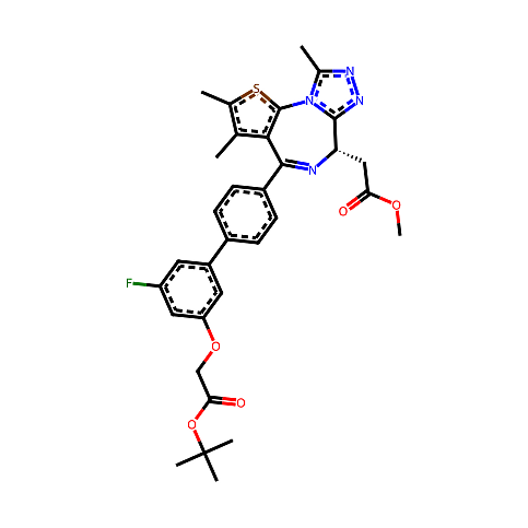 COC(=O)C[C@@H]1N=C(c2ccc(-c3cc(F)cc(OCC(=O)OC(C)(C)C)c3)cc2)c2c(sc(C)c2C)-n2c(C)nnc21